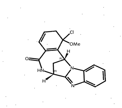 COC1(Cl)CC=CC2=C1[C@H]1C[C@@H](NC2=O)c2nc3ccccc3n21